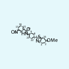 COc1ccc2nc(-c3ccc(NC(=O)c4cccc(N=O)c4)cc3)sc2c1